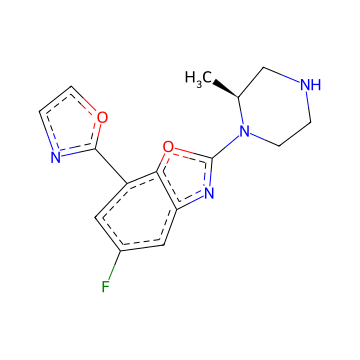 C[C@H]1CNCCN1c1nc2cc(F)cc(-c3ncco3)c2o1